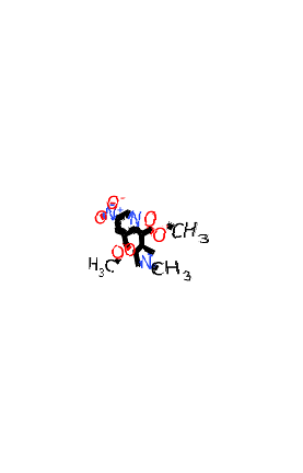 CCOC(=O)c1cc([N+](=O)[O-])cnc1C(C(=O)OCC)C1CCN(C)C1